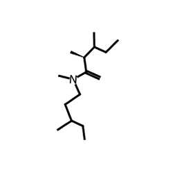 C=C([C@@H](C)C(C)CC)N(C)CCC(C)CC